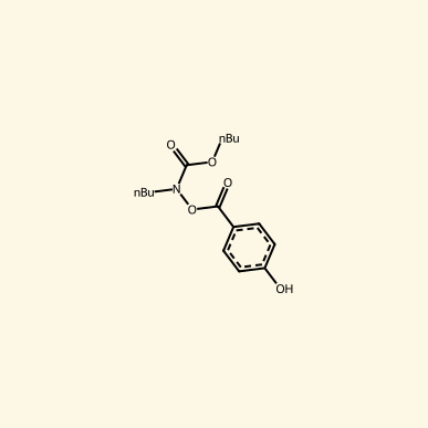 CCCCOC(=O)N(CCCC)OC(=O)c1ccc(O)cc1